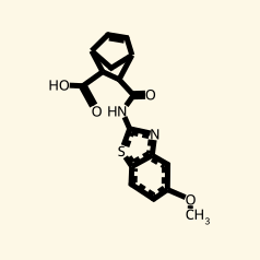 COc1ccc2sc(NC(=O)C3C4C=CC(C4)C3C(=O)O)nc2c1